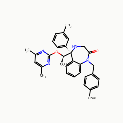 COc1ccc(CN2C(=O)CN[C@](c3cccc(C)c3)([C@H](Oc3nc(C)cc(C)n3)C(=O)O)c3ccccc32)cc1